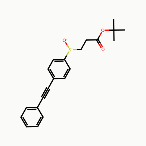 CC(C)(C)OC(=O)CC[S+]([O-])c1ccc(C#Cc2ccccc2)cc1